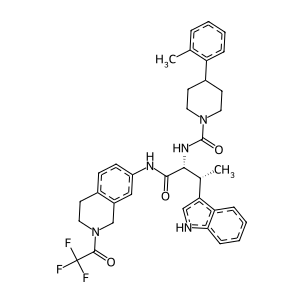 Cc1ccccc1C1CCN(C(=O)N[C@@H](C(=O)Nc2ccc3c(c2)CN(C(=O)C(F)(F)F)CC3)[C@H](C)c2c[nH]c3ccccc23)CC1